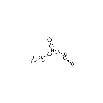 C=C(C)C(=O)OCCOC(=O)CCc1ccc(N(c2ccc(CCC(=O)OCCOC=O)cc2)c2ccc(-c3ccccc3)cc2)cc1